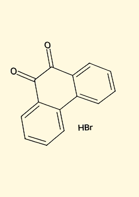 Br.O=C1C(=O)c2ccccc2-c2ccccc21